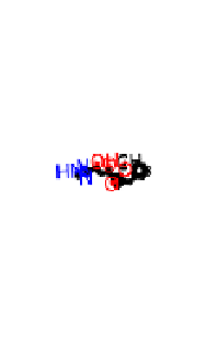 COc1ccccc1Cc1coc(C(=O)C=C(O)c2nc[nH]n2)c1